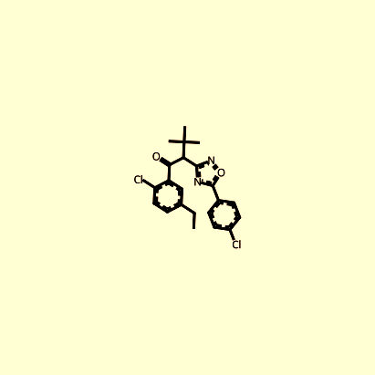 CCc1ccc(Cl)c(C(=O)C(c2noc(-c3ccc(Cl)cc3)n2)C(C)(C)C)c1